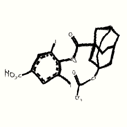 O=C(O)c1cc(I)c(OC(=O)C23CC4CC(CC(OC(=O)C(F)(F)F)(C4)C2)C3)c(I)c1